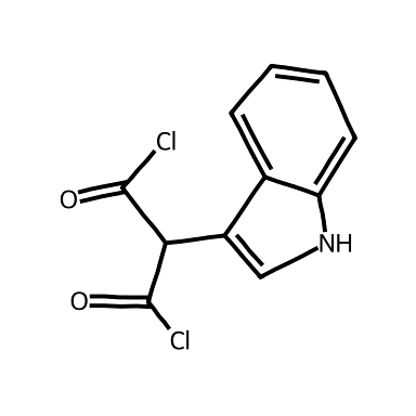 O=C(Cl)C(C(=O)Cl)c1c[nH]c2ccccc12